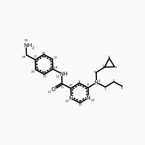 CCCN(CC1CC1)c1cc(C(=O)Nc2ccc(CN)cc2)ncn1